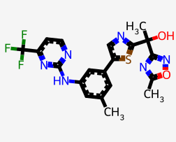 Cc1cc(Nc2nccc(C(F)(F)F)n2)cc(-c2cnc(C(C)(O)c3noc(C)n3)s2)c1